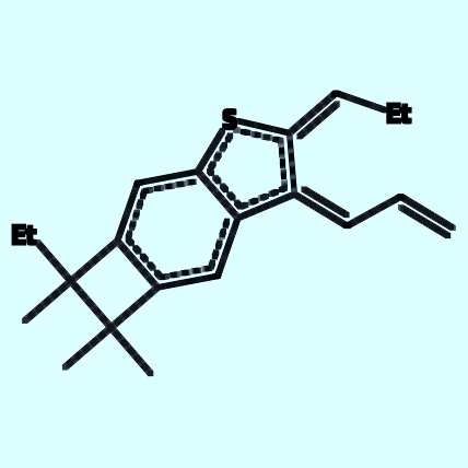 C=C/C=c1\c(=C/CC)sc2cc3c(cc12)C(C)(C)C3(C)CC